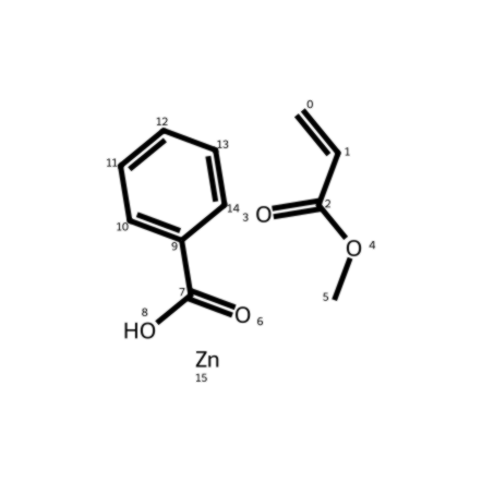 C=CC(=O)OC.O=C(O)c1ccccc1.[Zn]